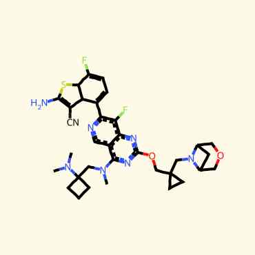 CN(CC1(N(C)C)CCC1)c1nc(OCC2(CN3C4COCC3C4)CC2)nc2c(F)c(C3=CC=C(F)C4SC(N)=C(C#N)C34)ncc12